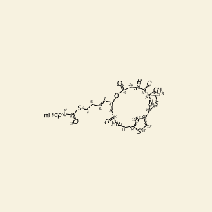 CCCCCCCC(=O)SCC/C=C/C1CC(=O)NCc2nc(cs2)C2=NC(C)(CS2)C(=O)NCC(=O)O1